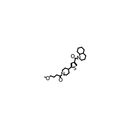 COCCCC(=O)N1CCC(c2cc(C(=O)N3CCCC4CCCCC43)cs2)CC1